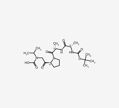 CC(C)N(CC(=O)[C@@H]1CCCN1C(=O)[C@H](C)NC(=O)[C@H](C)NC(=O)OC(C)(C)C)C(=O)O